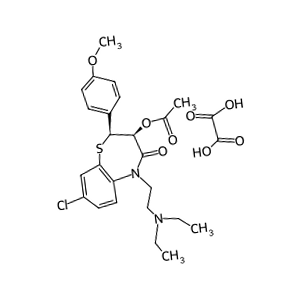 CCN(CC)CCN1C(=O)[C@H](OC(C)=O)[C@H](c2ccc(OC)cc2)Sc2cc(Cl)ccc21.O=C(O)C(=O)O